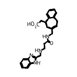 O=C(O)CC1CC(CNC(=O)CCNCc2nc3ccccc3[nH]2)=CCc2ccccc21